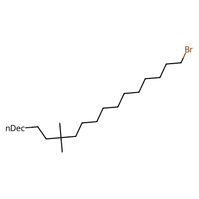 CCCCCCCCCCCCC(C)(C)CCCCCCCCCCCBr